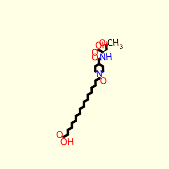 CC(=O)C[C@@H](NC(=O)C1CCN(C(=O)CCCCCCCCCCCCCCCCC(=O)O)CC1)C(=O)O